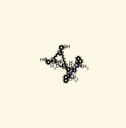 CCCC1CC(CC(O)CCCC2CC(CCCC3CC(C)OC(c4cccc(O)c4)O3)OC(c3cccc(O)c3)O2)OC(c2cccc(OC3=C(/C=C/C4=[N+](C)c5ccc6ccccc6c5C4(C)C)CC/C3=C\C=C3\N(C)c4ccc5ccccc5c4C3(C)C)c2)O1